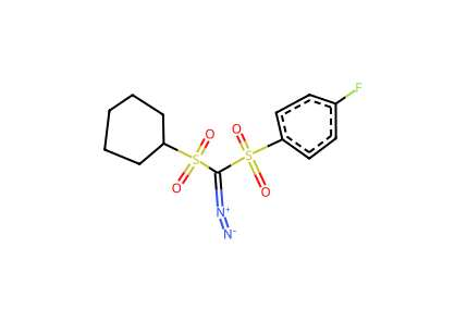 [N-]=[N+]=C(S(=O)(=O)c1ccc(F)cc1)S(=O)(=O)C1CCCCC1